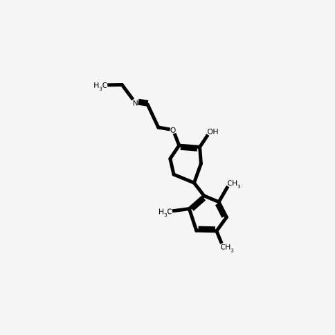 CCN=CCOC1=C(O)CC(c2c(C)cc(C)cc2C)CC1